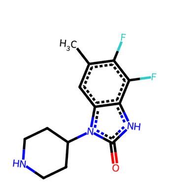 Cc1cc2c([nH]c(=O)n2C2CCNCC2)c(F)c1F